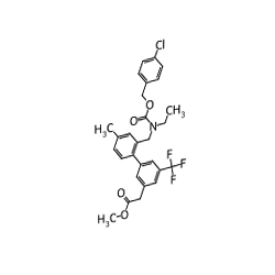 CCN(Cc1cc(C)ccc1-c1cc(CC(=O)OC)cc(C(F)(F)F)c1)C(=O)OCc1ccc(Cl)cc1